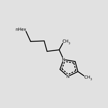 CCCCCCCCCC(C)n1cnc(C)c1